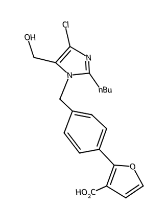 CCCCc1nc(Cl)c(CO)n1Cc1ccc(-c2occc2C(=O)O)cc1